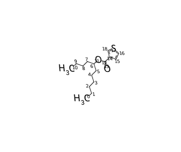 CCCCCCC(CCCC)OC(=O)c1ccsc1